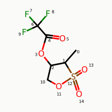 CC1C(OC(=O)C(F)(F)F)COS1(=O)=O